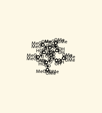 COc1cc(C(=O)Cc2cc(C(=O)O[C@H]3[C@H](OC(=O)c4cc(O)c(O)c(OC(=O)c5cc(OC)c(OC)c(OC)c5)c4)[C@@H](OC(=O)c4cc(O)c(O)c(OC(=O)c5cc(OC)c(OC)c(OC)c5)c4)[C@H](OC(=O)c4cc(O)c(O)c(OC(=O)c5cc(OC)c(OC)c(OC)c5)c4)O[C@@H]3COC(=O)c3cc(O)c(O)c(OC(=O)c4cc(OC)c(OC)c(OC)c4)c3)cc(O)c2O)cc(OC)c1OC